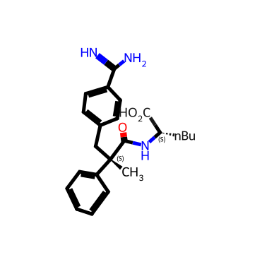 CCCC[C@H](NC(=O)[C@@](C)(Cc1ccc(C(=N)N)cc1)c1ccccc1)C(=O)O